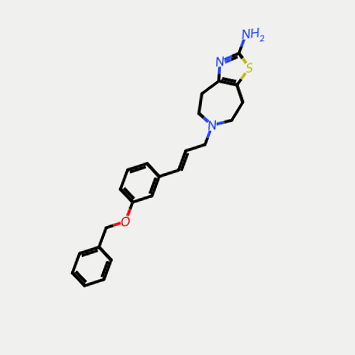 Nc1nc2c(s1)CCN(C/C=C/c1cccc(OCc3ccccc3)c1)CC2